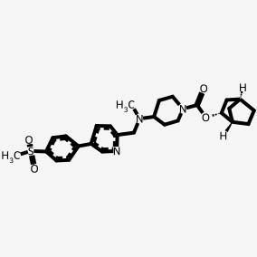 CN(Cc1ccc(-c2ccc(S(C)(=O)=O)cc2)cn1)C1CCN(C(=O)O[C@@H]2C[C@H]3CC[C@H]2C3)CC1